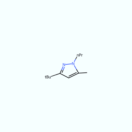 CCCn1nc(C(C)(C)C)cc1C